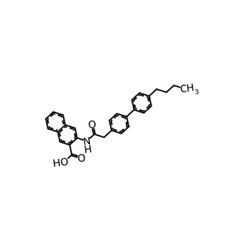 CCCCc1ccc(-c2ccc(CC(=O)Nc3cc4ccccc4cc3C(=O)O)cc2)cc1